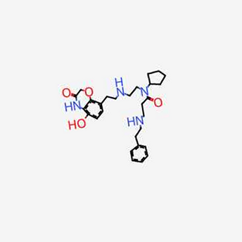 O=C1COc2c(CCNCCN(C(=O)CCNCCc3ccccc3)C3CCCC3)ccc(O)c2N1